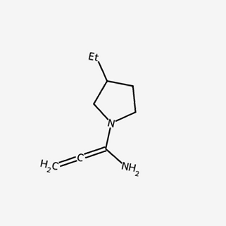 C=C=C(N)N1CCC(CC)C1